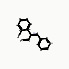 O=C/C(=C\c1cccnc1)c1ccccc1F